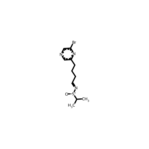 CC(C)[S@@+]([O-])/N=C/CCCc1cncc(Br)n1